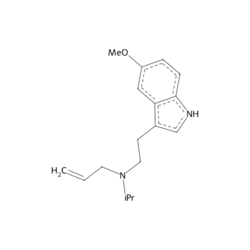 C=CCN(CCc1c[nH]c2ccc(OC)cc12)C(C)C